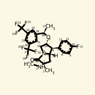 CN[C@]1(C)C[C@H]2[C@H](c3ccc(F)cc3)[C@@H](O[C@H](C)c3cc(C(F)(F)F)cc(C(F)(F)F)c3)CN2C1=O